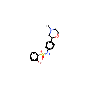 CCN1CCOC(c2ccc(NS(=O)(=O)c3ccccc3Br)cc2)C1